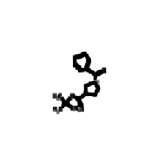 CC(C)(C)OC(=O)N1CC[C@@H](C(=O)c2ccccc2)C1